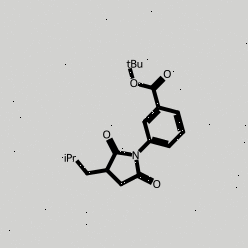 CC(C)CC1CC(=O)N(c2cccc(C(=O)OC(C)(C)C)c2)C1=O